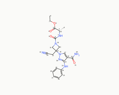 CCOC(=O)[C@H](C)NC(=O)N1CC(CC#N)(n2cc(C(N)=O)c(Nc3ccccc3)n2)C1